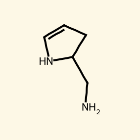 NCC1CC=CN1